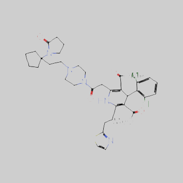 COC(=O)C1=C(CCc2nccs2)NC(CC(=O)N2CCN(CCC3(N4CCCC4=O)CCCC3)CC2)=C(C(=O)OC)C1c1c(Cl)cccc1Cl